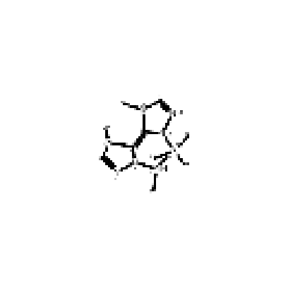 CN1C=NN([SiH](C)C)/C1=C1/N(C)C=NN1[Si](C)(C)C